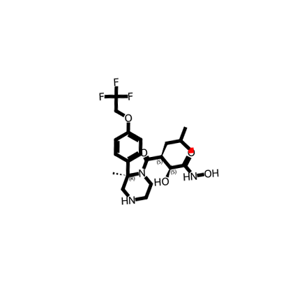 CC(C)C[C@H](C(=O)N1CCNC[C@@]1(C)c1ccc(OCC(F)(F)F)cc1)[C@H](O)C(=O)NO